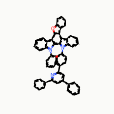 c1ccc(-c2cc(-c3ccccc3)nc(-c3ccc(-n4c5ccccc5c5c6c7ccccc7oc6c6c7ccccc7n(-c7ccccc7)c6c54)cc3)c2)cc1